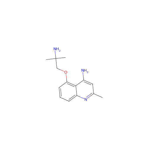 Cc1cc(N)c2c(OCC(C)(C)N)cccc2n1